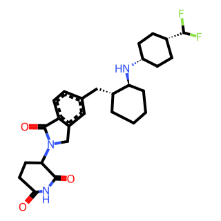 O=C1CCC(N2Cc3cc(C[C@H]4CCCC[C@@H]4N[C@H]4CC[C@@H](C(F)F)CC4)ccc3C2=O)C(=O)N1